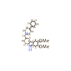 COc1cc2[nH]c3c(c2cc1OC)CC(CN1CC=C(c2ccccc2)CC1)CC3